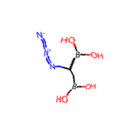 [N-]=[N+]=NC(B(O)O)B(O)O